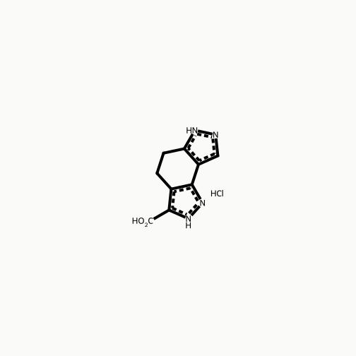 Cl.O=C(O)c1[nH]nc2c1CCc1[nH]ncc1-2